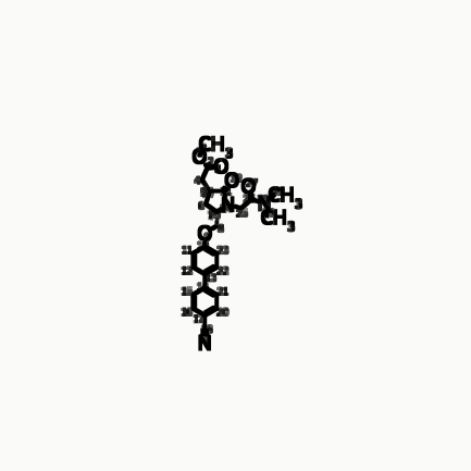 COC(=O)C[C@@H]1C[C@@H](COc2ccc(-c3ccc(C#N)cc3)cc2)N(CC(=O)N(C)C)C1=O